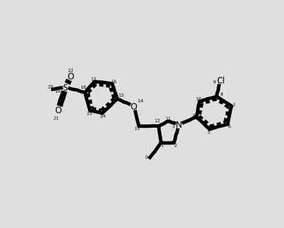 CC1CN(c2cccc(Cl)c2)CC1COc1ccc(S(C)(=O)=O)cc1